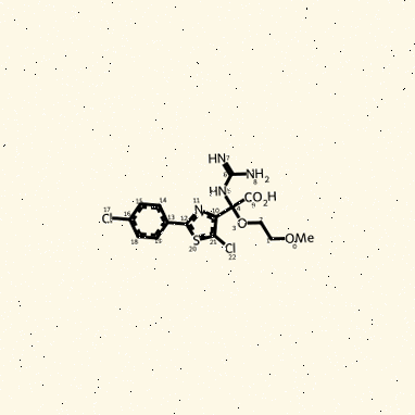 COCCOC(NC(=N)N)(C(=O)O)c1nc(-c2ccc(Cl)cc2)sc1Cl